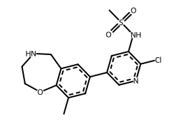 Cc1cc(-c2cnc(Cl)c(NS(C)(=O)=O)c2)cc2c1OCCNC2